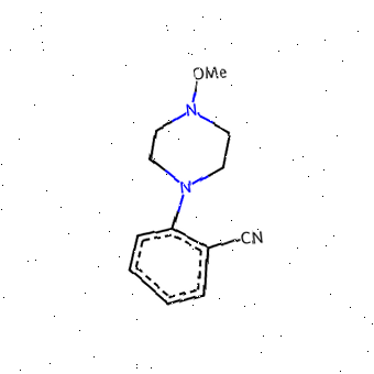 CON1CCN(c2ccccc2C#N)CC1